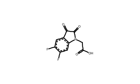 O=C(O)CN1C(=O)C(=O)c2cc(F)c(F)cc21